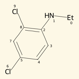 CCNc1ccc(Cl)cc1Cl